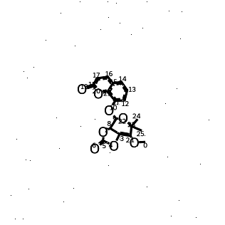 COC1=C2OC(=O)OC2C(Oc2cccc3ccc(=O)oc23)OC1(C)C